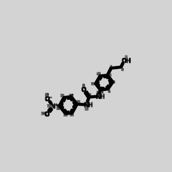 O=C(Nc1ccc(CCO)cc1)Nc1ccc([N+](=O)[O-])cc1